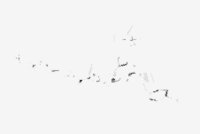 CC(C)(C)OC(=O)NCCCNC(=O)c1cc(Nc2nc(NCc3ccc(O)cc3)nc(OCC(F)(F)F)n2)[nH]n1